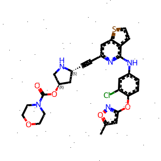 Cc1cc(Oc2ccc(Nc3nc(C#C[C@@H]4C[C@@H](OC(=O)N5CCOCC5)CN4)cc4sccc34)cc2Cl)no1